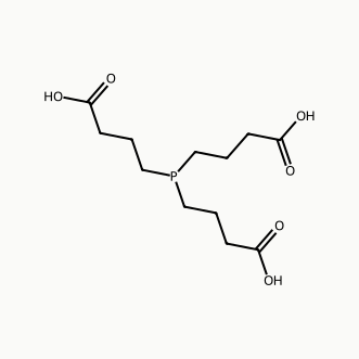 O=C(O)CCCP(CCCC(=O)O)CCCC(=O)O